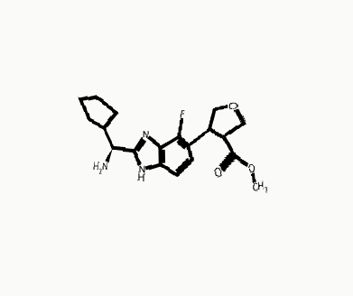 COC(=O)C1COCC1c1ccc2[nH]c([C@@H](N)C3CCCC3)nc2c1F